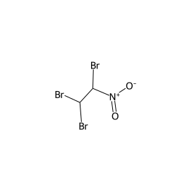 O=[N+]([O-])C(Br)C(Br)Br